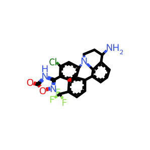 NC1CCN(c2ccc(-c3noc(=O)[nH]3)c(Cl)c2)c2c(-c3ccc(C(F)(F)F)cc3)cccc21